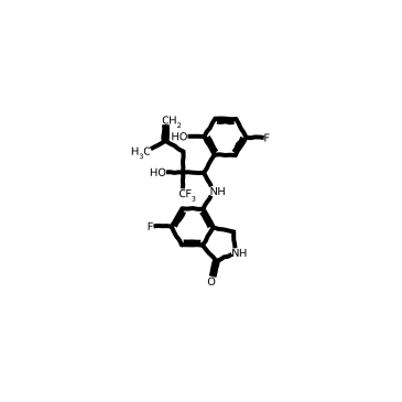 C=C(C)CC(O)(C(Nc1cc(F)cc2c1CNC2=O)c1cc(F)ccc1O)C(F)(F)F